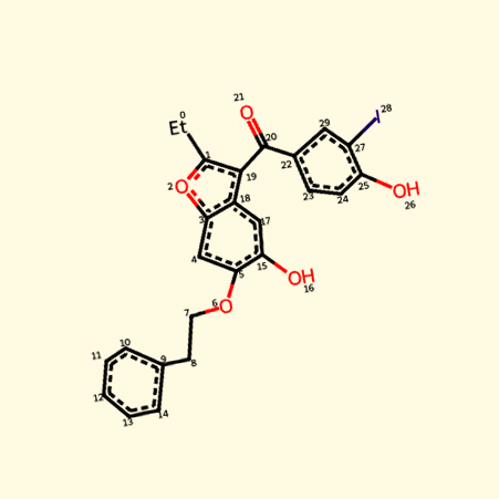 CCc1oc2cc(OCCc3ccccc3)c(O)cc2c1C(=O)c1ccc(O)c(I)c1